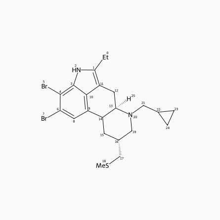 CCc1[nH]c2c(Br)c(Br)cc3c2c1C[C@@H]1C3C[C@@H](CSC)CN1CC1CC1